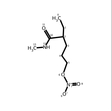 CCC(CCCO[N+](=O)[O-])C(=O)NC